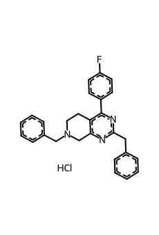 Cl.Fc1ccc(-c2nc(Cc3ccccc3)nc3c2CCN(Cc2ccccc2)C3)cc1